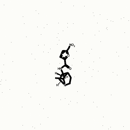 C[C@H]1[C@H](NC(=O)c2ccc([N+](=O)[O-])o2)C2CCN1CC2